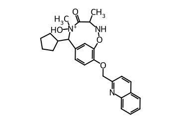 CC1NOc2cc(ccc2OCc2ccc3ccccc3n2)C(C2CCCC2)[N+](C)(O)C1=O